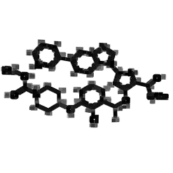 COC(=O)c1sc(-n2cnc3cc(-c4cccnc4)ccc32)cc1OC(C)c1cccc(OC2CCN(C(=O)OC(C)(C)C)CC2)c1Cl